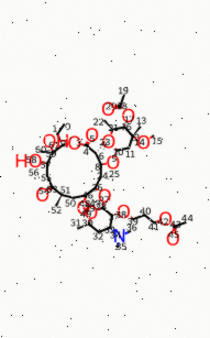 CC[C@H]1OC(=O)[C@H](C)[C@@H](O[C@H]2C[C@@](C)(OC)[C@@H](OC(C)=O)[C@H](C)O2)[C@H](C)[C@@H](O[C@@H]2O[C@H](C)C[C@H](N(C)C)[C@H]2OCCCOC(C)=O)[C@@](C)(OC)C[C@@H](C)C(=O)[C@H](C)[C@@H](O)[C@]1(C)O